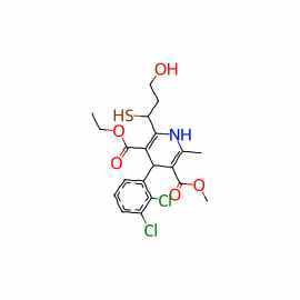 CCOC(=O)C1=C(C(S)CCO)NC(C)=C(C(=O)OC)C1c1cccc(Cl)c1Cl